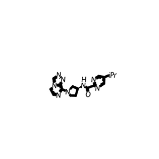 CC(C)c1cnc(C(=O)N[C@H]2CCN(c3nccn4cnnc34)C2)nc1